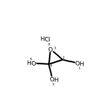 Cl.OC1OC1(O)O